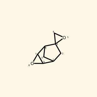 C1C2CC3(CO3)C1C1OC21